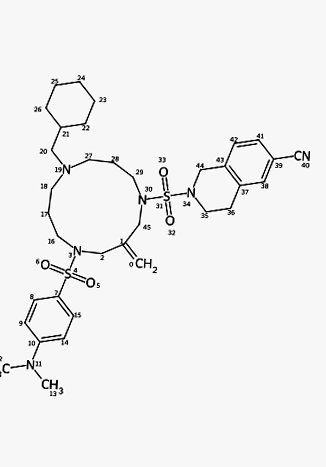 C=C1CN(S(=O)(=O)c2ccc(N(C)C)cc2)CCCN(CC2CCCCC2)CCCN(S(=O)(=O)N2CCc3cc(C#N)ccc3C2)C1